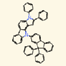 c1ccc(-c2cc3c(ccc4c5ccccc5n(-c5ccc6c(c5)C(c5ccccc5)(c5ccccc5)c5ccccc5-6)c43)n2-c2ccccc2)cc1